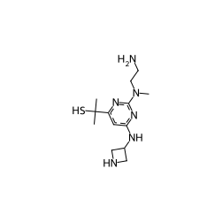 CN(CCN)c1nc(NC2CNC2)cc(C(C)(C)S)n1